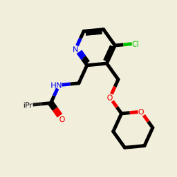 CC(C)C(=O)NCc1nccc(Cl)c1COC1CCCCO1